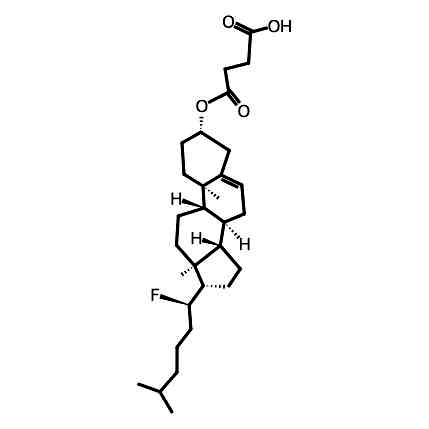 CC(C)CCC[C@@H](F)[C@H]1CC[C@H]2[C@@H]3CC=C4C[C@@H](OC(=O)CCC(=O)O)CC[C@]4(C)[C@H]3CC[C@]12C